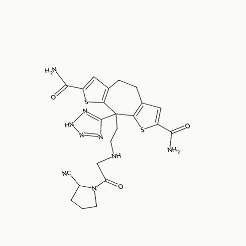 N#CC1CCCN1C(=O)CNCCC1(c2nn[nH]n2)c2sc(C(N)=O)cc2CCc2cc(C(N)=O)sc21